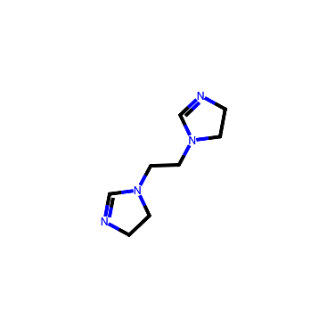 C1=NCCN1CCN1C=NCC1